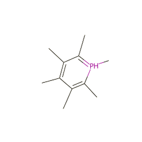 CC1=C(C)C(C)=[PH](C)C(C)=C1C